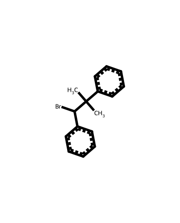 CC(C)(c1ccccc1)C(Br)c1ccccc1